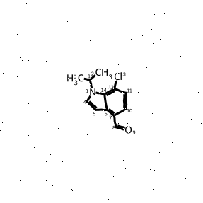 CC(C)n1ccc2c(C=O)ccc(Cl)c21